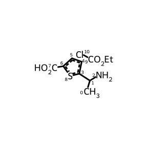 CC(N)c1ccc(C(=O)O)s1.CCOC(=O)Cl